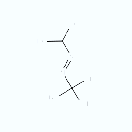 CC(C#N)N=NC(C)(C)C#N